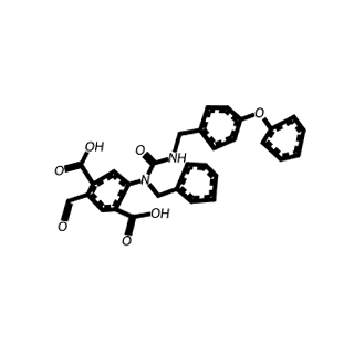 O=Cc1cc(C(=O)O)c(N(Cc2ccccc2)C(=O)NCc2ccc(Oc3ccccc3)cc2)cc1C(=O)O